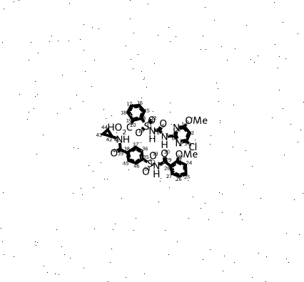 COc1cc(Cl)nc(NC(=O)NS(=O)(=O)c2ccccc2C(=O)O)n1.COc1ccccc1C(=O)NS(=O)(=O)c1ccc(C(=O)NC2CC2)cc1